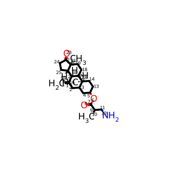 C=C1CC2CC(OC(=O)C(C)CN)CC[C@]2(C)[C@@H]2CC[C@]3(C)C(=O)CC[C@H]3[C@H]12